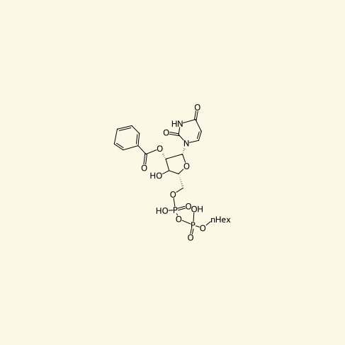 CCCCCCOP(=O)(O)OP(=O)(O)OC[C@H]1O[C@@H](n2ccc(=O)[nH]c2=O)[C@@H](OC(=O)c2ccccc2)C1O